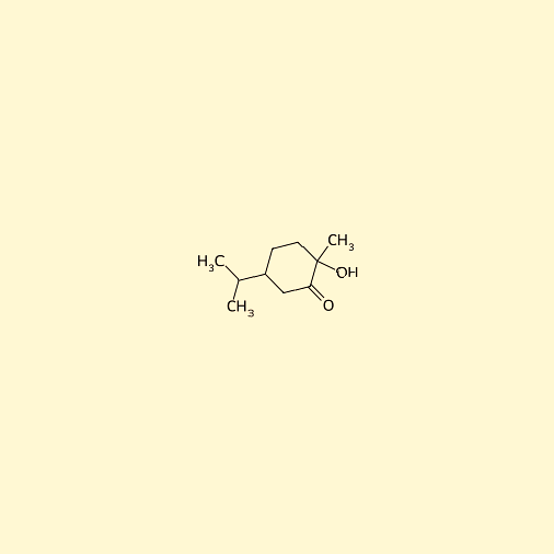 CC(C)C1CCC(C)(O)C(=O)C1